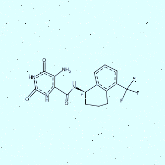 Nc1c(C(=O)N[C@@H]2CCCc3c2cccc3C(F)(F)F)[nH]c(=O)[nH]c1=O